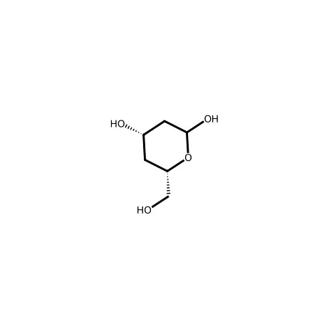 OC[C@@H]1C[C@H](O)CC(O)O1